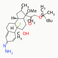 CO[C@]1(C(=O)CO[Si](C)(C)C(C)(C)C)[C@H](C)C[C@H]2[C@@H]3CCC4=C/C(=N/N)C=C[C@]4(C)[C@@]3(F)[C@@H](O)C[C@@]21C